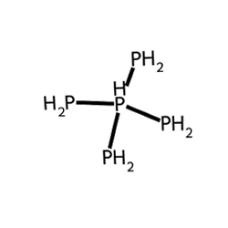 P[PH](P)(P)P